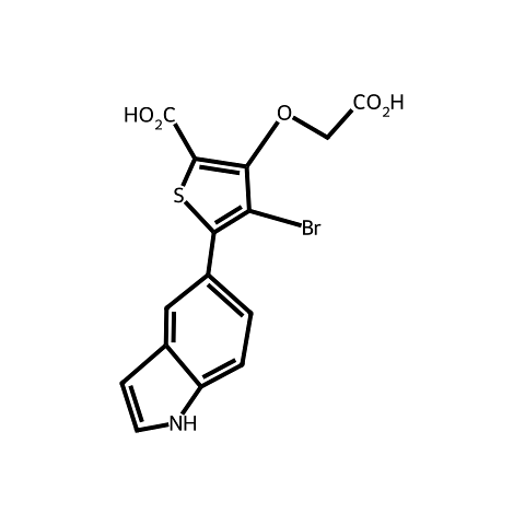 O=C(O)COc1c(C(=O)O)sc(-c2ccc3[nH]ccc3c2)c1Br